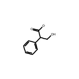 [O]C(=O)C(CO)c1ccccc1